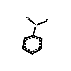 FN(Cl)c1ccccc1